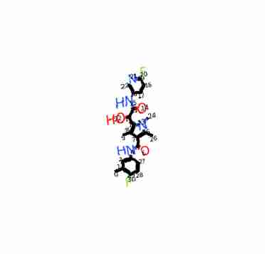 Cc1cc(NC(=O)c2c(C)c(C(O)C(=O)Nc3ccc(F)nc3)n(C)c2C)ccc1F